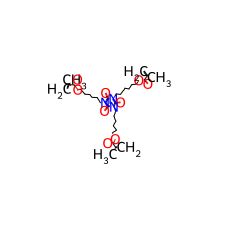 C=C(C)C(=O)OCCCCCCn1c(=O)n(CCCCCCOC(=O)C(=C)C)c(=O)n(CCCCCCOC(=O)C(=C)C)c1=O